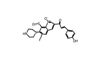 CCSc1c(N2CCNCC2)c(F)cc2cc(C(=O)C=Cc3ccc(O)cc3)c[n+]([O-])c12